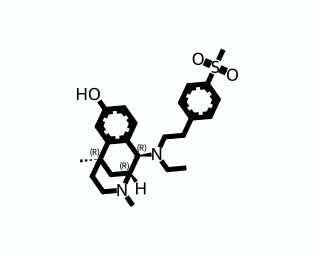 CCN(CCc1ccc(S(C)(=O)=O)cc1)[C@@H]1c2ccc(O)cc2[C@]2(C)CCN(C)[C@@H]1C2